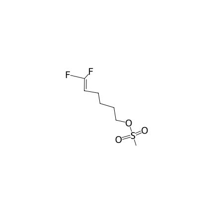 CS(=O)(=O)OCCCCC=C(F)F